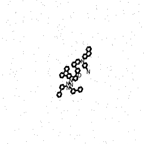 N#Cc1ccc(N(c2ccc3c(ccc4ccccc43)c2)c2ccc3cccc(-c4ccc5oc6ccc7c(c8cc9c%10ccccc%10c%10ccccc%10c9cc8n7-c7nc(-c8cccc(-c9ccccc9)c8)nc(-c8cccc(-c9ccccc9)c8)n7)c6c5c4)c3c2)cc1